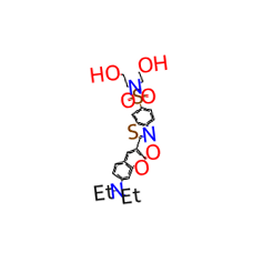 CCN(CC)c1ccc2cc(-c3nc4ccc(S(=O)(=O)N(CCO)CCO)cc4s3)c(=O)oc2c1